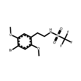 COc1cc(CCNS(=O)(=O)C(F)(F)F)c(OC)cc1Br